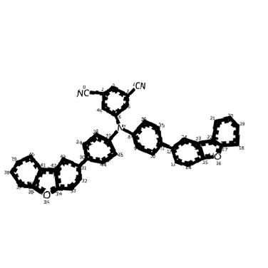 N#Cc1cc(C#N)cc(N(c2ccc(-c3ccc4oc5ccccc5c4c3)cc2)c2ccc(-c3ccc4oc5ccccc5c4c3)cc2)c1